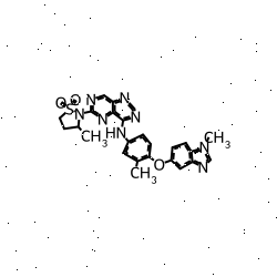 Cc1cc(Nc2ncnc3cnc(N4C(C)CCS4(=O)=O)nc23)ccc1Oc1ccc2c(c1)ncn2C